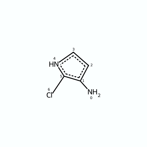 Nc1cc[nH]c1Cl